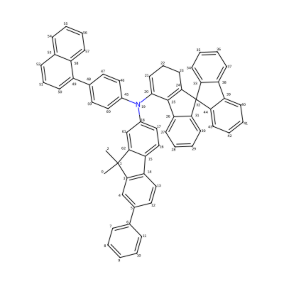 CC1(C)c2cc(-c3ccccc3)ccc2-c2ccc(N(C3=CCCC4=C3c3ccccc3C43c4ccccc4-c4ccccc43)c3ccc(-c4cccc5ccccc45)cc3)cc21